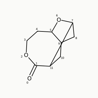 O=C1OCCC2OC3CC2CC13